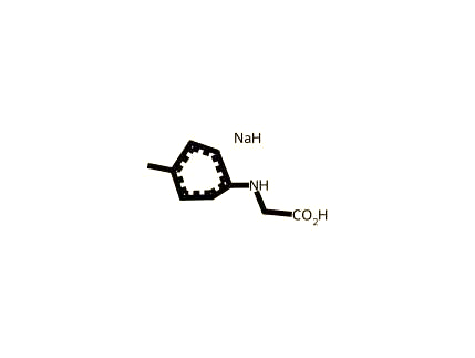 Cc1ccc(NCC(=O)O)cc1.[NaH]